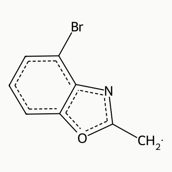 [CH2]c1nc2c(Br)cccc2o1